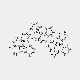 CC1c2ccccc2N(c2ccccc2)c2cc(-c3cc4cc(-c5ccc6c(c5)N(c5ccccc5)c5ccccc5C=C6)c5c(c4c4ccccc34)C=CCC5)ccc21